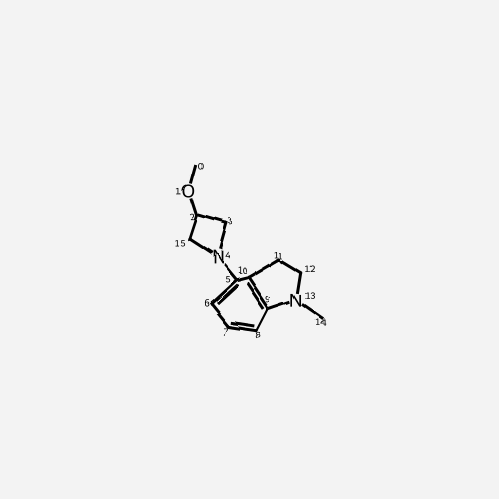 COC1CN(c2cccc3c2CCN3C)C1